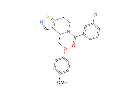 COc1ccc(OCC2c3cnsc3CCN2C(=O)c2cccc(Cl)c2)cc1